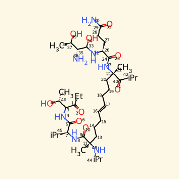 CCC(=O)[C@@H](NC(=O)[C@@H](NC(=O)[C@](C)(CCC/C=C/CCC[C@](C)(NC(=O)[C@H](CCC(N)=O)NC(O)[C@H](N)[C@@H](C)O)C(=O)C(C)C)NC(C)C)C(C)C)[C@@H](C)O